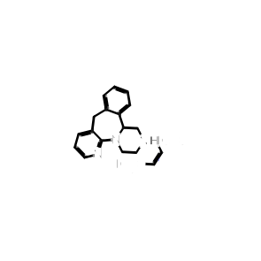 O=C(O)/C=C\C(=O)O.c1ccc2c(c1)Cc1cccnc1N1CCNCC21